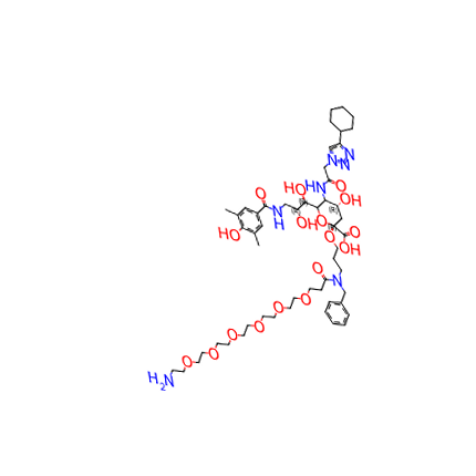 Cc1cc(C(=O)NC[C@@H](O)[C@@H](O)C2O[C@@](OCCCN(Cc3ccccc3)C(=O)CCOCCOCCOCCOCCOCCOCCN)(C(=O)O)C[C@@H](O)C2NC(=O)Cn2cc(C3CCCCC3)nn2)cc(C)c1O